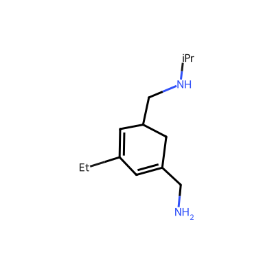 CCC1=CC(CNC(C)C)CC(CN)=C1